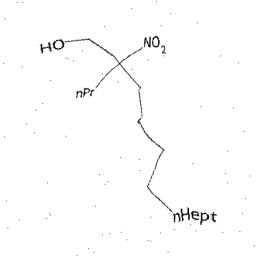 CCCCCCCCCCCC(CO)(CCC)[N+](=O)[O-]